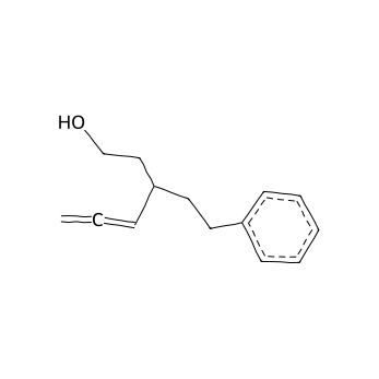 C=C=CC(CCO)CCc1ccccc1